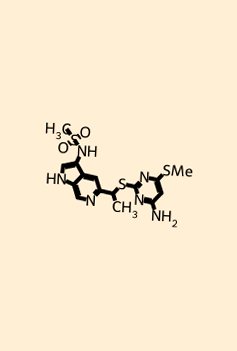 CSc1cc(N)nc(SC(C)c2cc3c(NS(C)(=O)=O)c[nH]c3cn2)n1